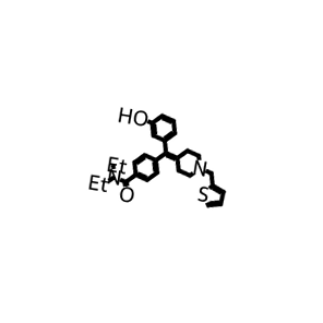 CCN(CC)C(=O)c1ccc(C(=C2CCN(Cc3cccs3)CC2)c2cccc(O)c2)cc1